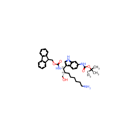 CC(C)(C)OC(=O)Nc1ccc2c([C@@H](NC(=O)OCC3c4ccccc4-c4ccccc43)[C@@H](CO)CCCCCCN)c[nH]c2c1